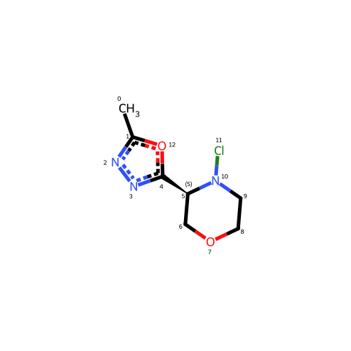 Cc1nnc([C@@H]2COCCN2Cl)o1